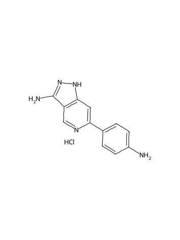 Cl.Nc1ccc(-c2cc3[nH]nc(N)c3cn2)cc1